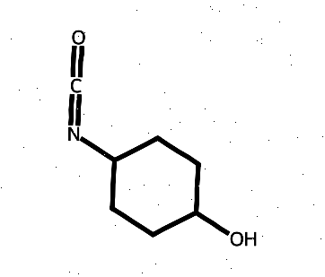 O=C=NC1CCC(O)CC1